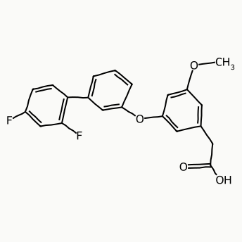 COc1cc(CC(=O)O)cc(Oc2cccc(-c3ccc(F)cc3F)c2)c1